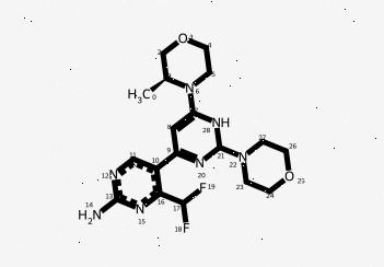 C[C@H]1COCCN1C1=CC(c2cnc(N)nc2C(F)F)=NC(N2CCOCC2)N1